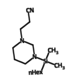 CCCCCC[Si](C)(C)N1CCCN(CCC#N)C1